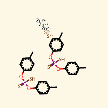 Cc1ccc(OP(=S)(S)Oc2ccc(C)cc2)cc1.Cc1ccc(OP(=S)(S)Oc2ccc(C)cc2)cc1.[S-2].[S-2].[Zn+2].[Zn+2].[Zn+2]